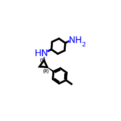 Cc1ccc([C@H]2C[C@@H]2NC2CCC(N)CC2)cc1